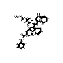 CC(C)(C)OC(=O)NC(C)(C)C(=O)NC(Cc1c[nH]c2ccccc12)C(=O)[C@]1(N2CCC(C(=O)OCc3ccccc3)CC2)C=CC=CC1